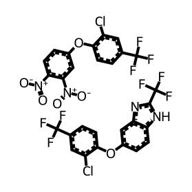 FC(F)(F)c1ccc(Oc2ccc3[nH]c(C(F)(F)F)nc3c2)c(Cl)c1.O=[N+]([O-])c1ccc(Oc2ccc(C(F)(F)F)cc2Cl)cc1[N+](=O)[O-]